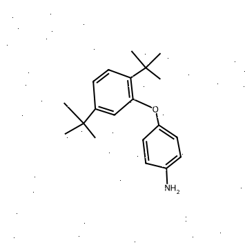 CC(C)(C)c1ccc(C(C)(C)C)c(Oc2ccc(N)cc2)c1